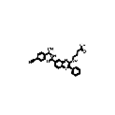 C[C@@H](NC(=O)c1ccc2nc(-c3ccccc3)c(NCCCC(=O)O)nc2c1)c1ccc(C#N)cc1